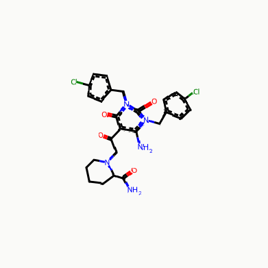 NC(=O)C1CCCCN1CC(=O)c1c(N)n(Cc2ccc(Cl)cc2)c(=O)n(Cc2ccc(Cl)cc2)c1=O